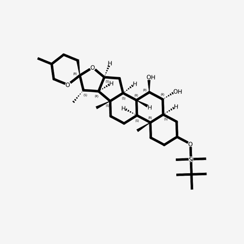 CC1CC[C@@]2(OC1)O[C@H]1C[C@H]3[C@@H]4[C@@H](O)[C@H](O)[C@H]5CC(O[Si](C)(C)C(C)(C)C)CC[C@]5(C)[C@H]4CC[C@]3(C)[C@H]1[C@@H]2C